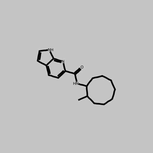 CC1CCCCCCCC1NC(=O)c1ccc2cc[nH]c2n1